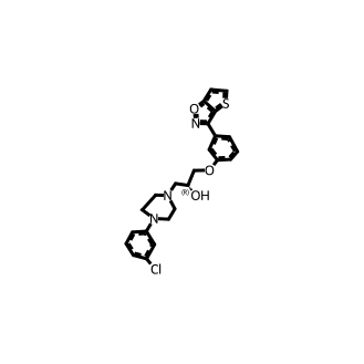 O[C@@H](COc1cccc(-c2noc3ccsc23)c1)CN1CCN(c2cccc(Cl)c2)CC1